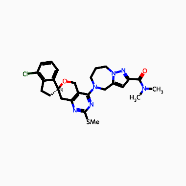 CSc1nc2c(c(N3CCCn4nc(C(=O)N(C)C)cc4C3)n1)CO[C@@]1(CCc3c(Cl)cccc31)C2